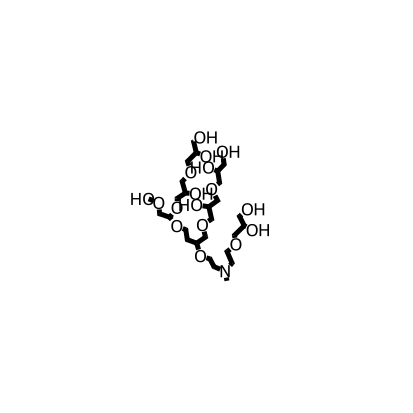 CN(CCOCC(O)CO)CCOC(CCOC(COO)OCC(O)COCC(O)CO)COCC(O)COCC(O)CO